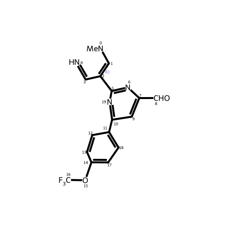 CN/C=C(\C=N)c1nc(C=O)cc(-c2ccc(OC(F)(F)F)cc2)n1